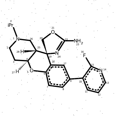 CC(C)N1CC[C@@H]2Oc3ccc(-c4cccnc4F)cc3[C@]3(COC(N)=N3)[C@H]2C1